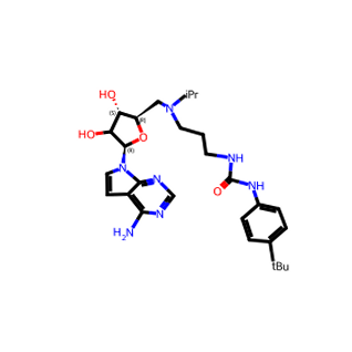 CC(C)N(CCCNC(=O)Nc1ccc(C(C)(C)C)cc1)C[C@H]1O[C@@H](n2ccc3c(N)ncnc32)C(O)[C@@H]1O